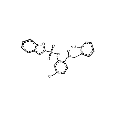 O=S(=O)(Nc1cc(Cl)ccc1[S+]([O-])Cc1cccc[n+]1O)c1cc2ccccc2o1